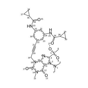 CN(C)n1c(S(C)(=O)=O)nc2c1c(=O)n(C)c(=O)n2CC#Cc1cc(NC(=O)C2CC2)cc(NC(=O)C2CC2)c1